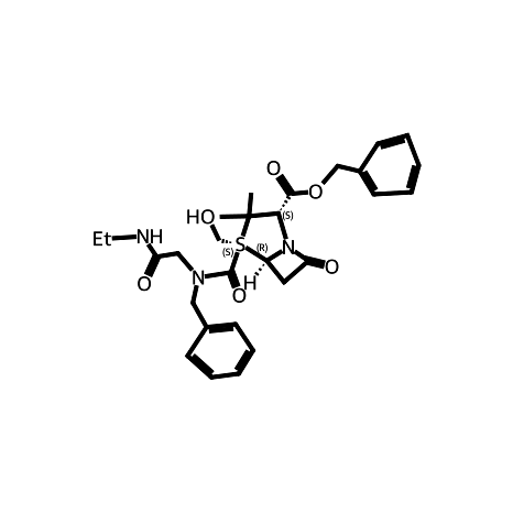 CCNC(=O)CN(Cc1ccccc1)C(=O)[S@]1(CO)[C@@H]2CC(=O)N2[C@@H](C(=O)OCc2ccccc2)C1(C)C